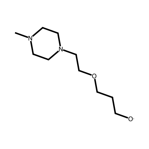 CN1CCN(CCOCCC[O])CC1